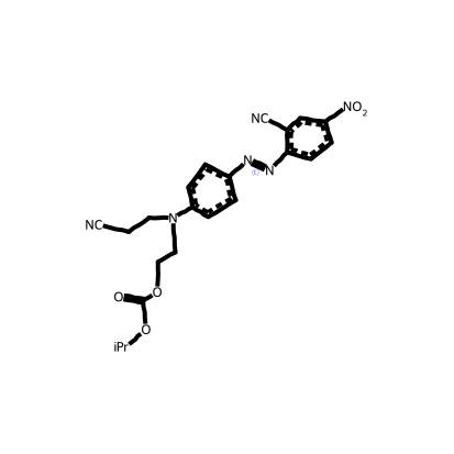 CC(C)OC(=O)OCCN(CCC#N)c1ccc(/N=N/c2ccc([N+](=O)[O-])cc2C#N)cc1